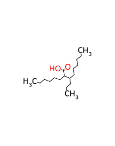 CCCCCCC(CCC)C(CCCCCC)C(=O)O